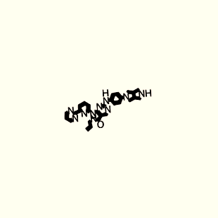 C=CCn1c(=O)c2cnc(Nc3ccc(N4CC5CNCC5C4)cc3)nc2n1-c1cccc(-c2ncccn2)n1